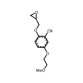 COCCOc1ccc(OCC2CO2)c(C#N)c1